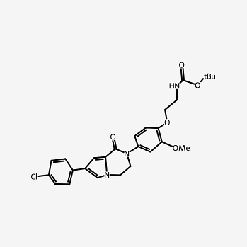 COc1cc(N2CCn3cc(-c4ccc(Cl)cc4)cc3C2=O)ccc1OCCNC(=O)OC(C)(C)C